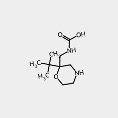 CC(C)(C)C1(CNC(=O)O)CNCCO1